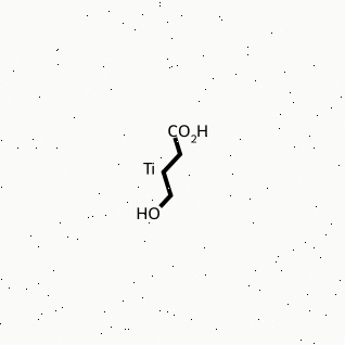 O=C(O)CCCO.[Ti]